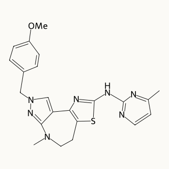 COc1ccc(Cn2cc3c(n2)N(C)CCc2sc(Nc4nccc(C)n4)nc2-3)cc1